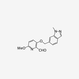 COc1ccc(OCc2ccc3cnn(C)c3c2)c(C=O)n1